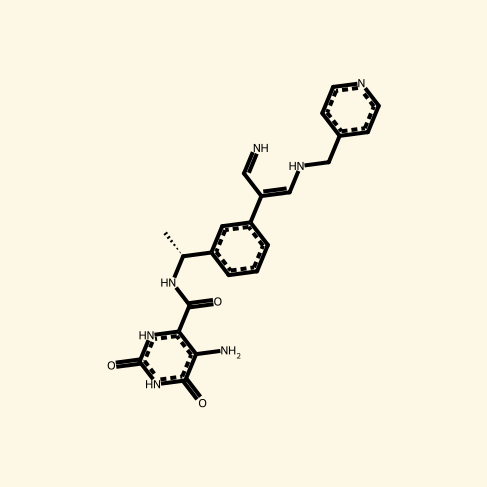 C[C@@H](NC(=O)c1[nH]c(=O)[nH]c(=O)c1N)c1cccc(/C(C=N)=C/NCc2ccncc2)c1